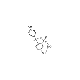 CC(C)(c1ccc(O)cc1)c1ccc(O)c(S(=O)(=O)F)c1S(=O)(=O)F